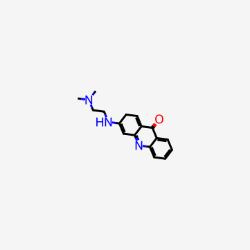 CN(C)CCNC1=CC2=Nc3ccccc3C(=O)C2=CC1